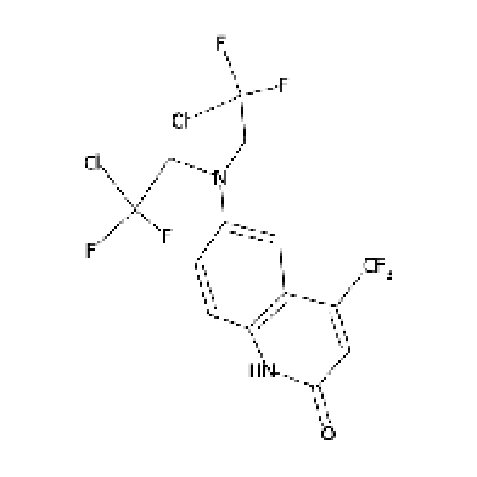 O=c1cc(C(F)(F)F)c2cc(N(CC(F)(F)Cl)CC(F)(F)Cl)ccc2[nH]1